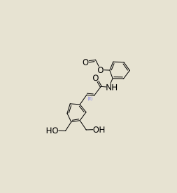 O=COc1ccccc1NC(=O)/C=C/c1ccc(CO)c(CO)c1